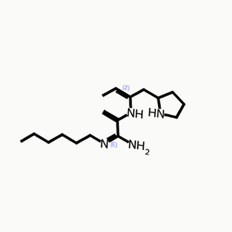 C=C(N/C(=C\C)CC1CCCN1)/C(N)=N\CCCCCC